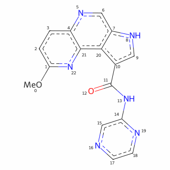 COc1ccc2ncc3[nH]cc(C(=O)Nc4cnccn4)c3c2n1